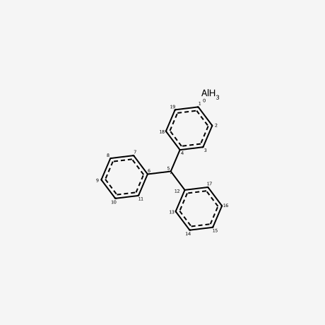 [AlH3].c1ccc([C](c2ccccc2)c2ccccc2)cc1